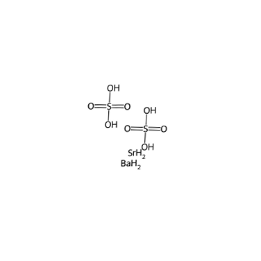 O=S(=O)(O)O.O=S(=O)(O)O.[BaH2].[SrH2]